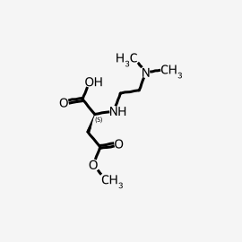 COC(=O)C[C@H](NCCN(C)C)C(=O)O